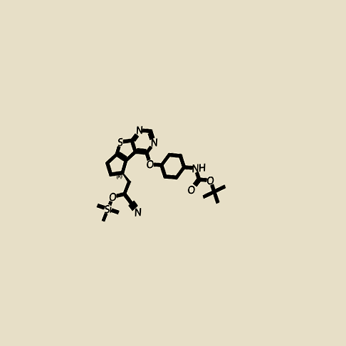 CC(C)(C)OC(=O)NC1CCC(Oc2ncnc3sc4c(c23)[C@@H](CC(C#N)O[Si](C)(C)C)CC4)CC1